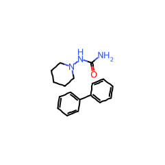 NC(=O)NN1CCCCC1.c1ccc(-c2ccccc2)cc1